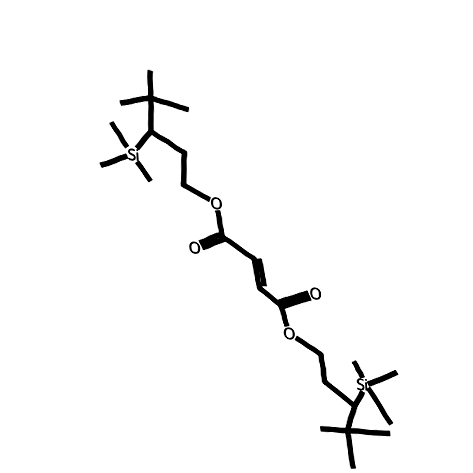 CC(C)(C)C(CCOC(=O)/C=C/C(=O)OCCC(C(C)(C)C)[Si](C)(C)C)[Si](C)(C)C